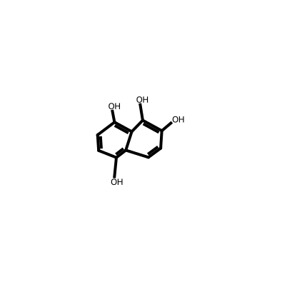 Oc1ccc2c(O)ccc(O)c2c1O